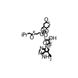 C#Cc1cn([C@@H]2O[C@H](COP(=O)(OCCSC(=O)CC(C)C)OC3CSC(=O)CC3C)[C@@H](O)[C@@]2(C)F)c2ncnc(N)c12